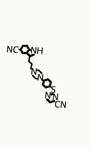 N#Cc1ccc2[nH]cc(CCCN3CCN(c4ccc(Sc5nccc(C#N)n5)cc4)CC3)c2c1